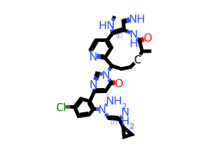 CN/C1=C(\C=N)NC(=O)C(C)CCCC(n2cnc(-c3cc(Cl)ccc3N(N)/C=C(\N)C3CC3)cc2=O)c2cc1ccn2